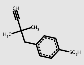 C#CC(C)(C)Cc1ccc(S(=O)(=O)O)cc1